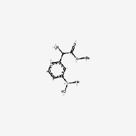 CC(C)(C)OC(=O)C(N)c1cc(B(O)O)ccn1